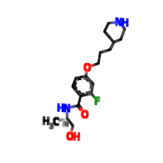 C[C@@H](CO)NC(=O)c1ccc(OCCCC2CCNCC2)cc1F